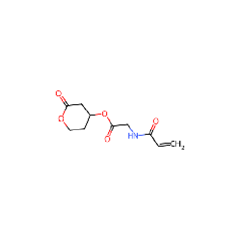 C=CC(=O)NCC(=O)OC1CCOC(=O)C1